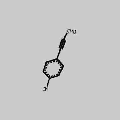 [C-]#[N+]c1ccc(C#CC=O)cc1